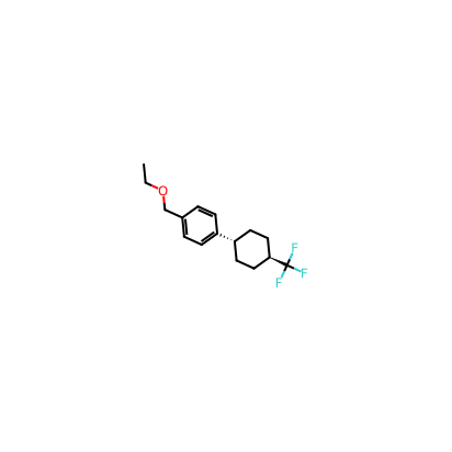 CCOCc1ccc([C@H]2CC[C@H](C(F)(F)F)CC2)cc1